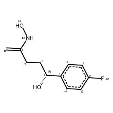 C=C(CC[C@@H](O)c1ccc(F)cc1)NO